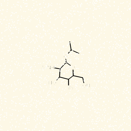 CC(=O)NC1C(OC(C)I)OC(CO)C(C(C)C)C1O